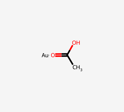 CC(=O)O.[Au]